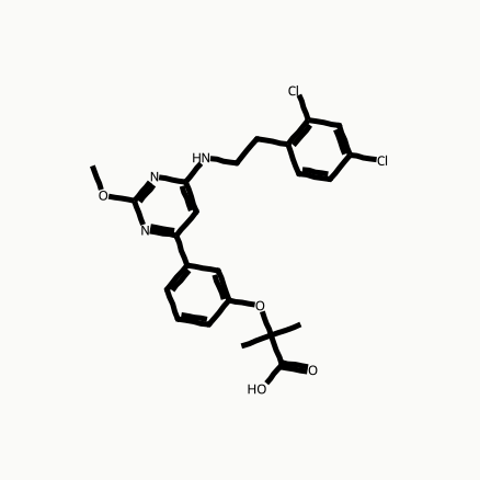 COc1nc(NCCc2ccc(Cl)cc2Cl)cc(-c2cccc(OC(C)(C)C(=O)O)c2)n1